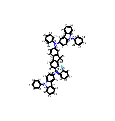 CC1(C)c2cc(N(c3ccc4c(c3)c3ccccc3n4-c3ccccc3)c3ccccc3F)ccc2-c2ccc(N(c3ccc4c(c3)c3ccccc3n4-c3ccccc3)c3ccccc3F)cc21